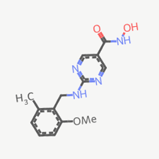 COc1cccc(C)c1CNc1ncc(C(=O)NO)cn1